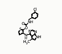 Cc1c[nH]c2ncnc(Nc3ccsc3OC(=O)NCc3cccc(Cl)c3)c12